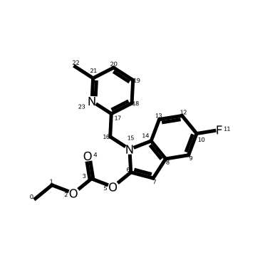 CCOC(=O)Oc1cc2cc(F)ccc2n1Cc1cccc(C)n1